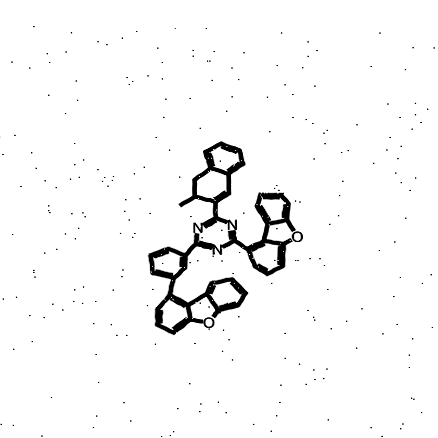 CC1Cc2ccccc2C=C1c1nc(-c2cccc(-c3cccc4oc5ccccc5c34)c2)nc(-c2cccc3oc4ccccc4c23)n1